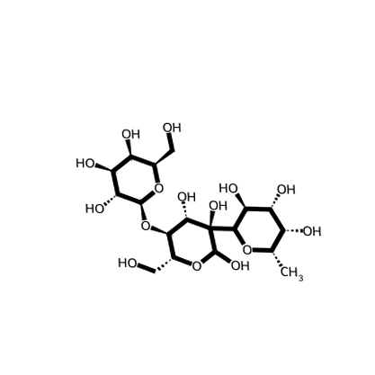 C[C@@H]1OC([C@]2(O)C(O)O[C@H](CO)[C@@H](O[C@@H]3O[C@H](CO)[C@H](O)[C@H](O)[C@H]3O)[C@@H]2O)[C@@H](O)[C@H](O)[C@@H]1O